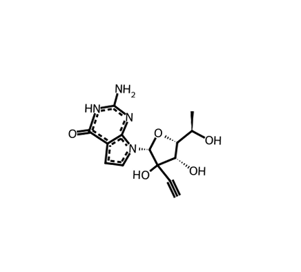 C#CC1(O)[C@@H](O)[C@@H]([C@@H](C)O)O[C@H]1n1ccc2c(=O)[nH]c(N)nc21